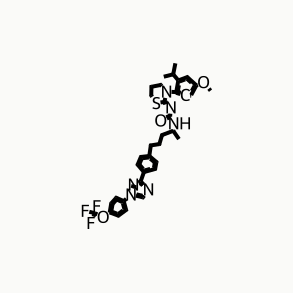 COc1ccc(N2CCCS/C2=N\C(=O)NC(C)CCCc2ccc(-c3ncn(-c4ccc(OC(F)(F)F)cc4)n3)cc2)c(C(C)C)c1